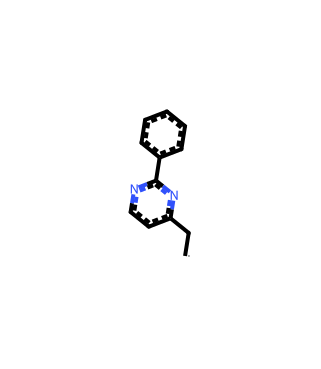 [CH2]Cc1ccnc(-c2ccccc2)n1